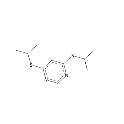 CC(C)Sc1[c]c(SC(C)C)ncn1